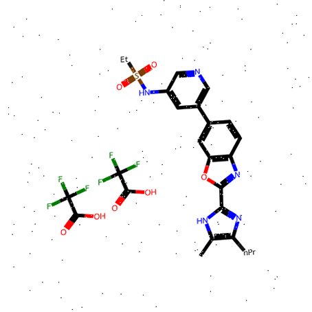 CCCc1nc(-c2nc3ccc(-c4cncc(NS(=O)(=O)CC)c4)cc3o2)[nH]c1C.O=C(O)C(F)(F)F.O=C(O)C(F)(F)F